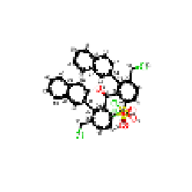 O=C(c1c(S(=O)(=O)Cl)ccc(CCl)c1-c1ccc2ccccc2c1)c1c(S(=O)(=O)Cl)ccc(CCl)c1-c1ccc2ccccc2c1